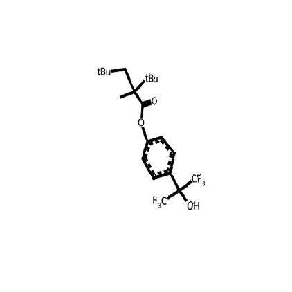 CC(C)(C)CC(C)(C(=O)Oc1ccc(C(O)(C(F)(F)F)C(F)(F)F)cc1)C(C)(C)C